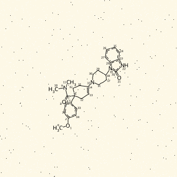 COc1ccc(C2(C(=O)N(C)C)CC=C(N3CCC(n4c(=O)[nH]c5ccccc54)CC3)CC2)cc1